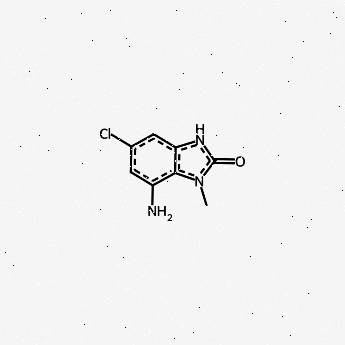 Cn1c(=O)[nH]c2cc(Cl)cc(N)c21